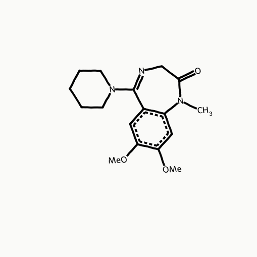 COc1cc2c(cc1OC)N(C)C(=O)CN=C2N1CCCCC1